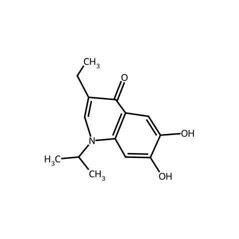 CCc1cn(C(C)C)c2cc(O)c(O)cc2c1=O